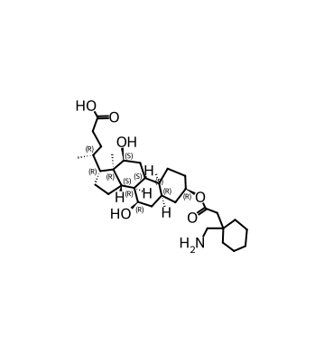 C[C@H](CCC(=O)O)[C@H]1CC[C@H]2[C@@H]3[C@H](O)C[C@@H]4C[C@H](OC(=O)CC5(CN)CCCCC5)CC[C@]4(C)[C@H]3C[C@H](O)[C@]12C